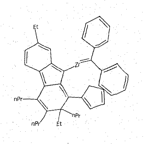 CCCC1=C(CCC)C(CC)(CCC)C(C2=CC=CC2)=C2[C]([Zr]=[C](c3ccccc3)c3ccccc3)=c3cc(CC)ccc3=C12